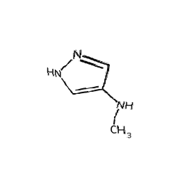 CNc1cn[nH]c1